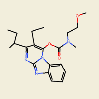 CCc1c(C(C)CC)nc2nc3ccccc3n2c1OC(=O)N(C)CCOC